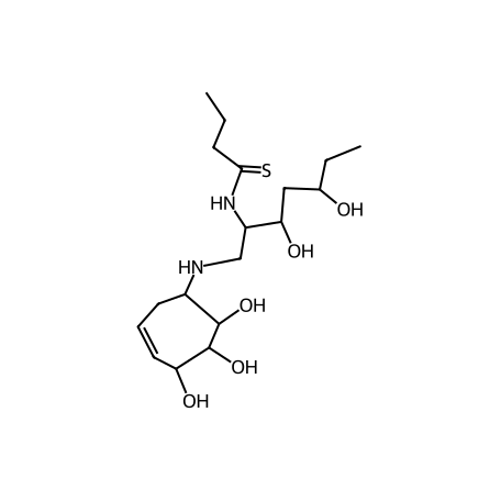 CCCC(=S)NC(CNC1CC=CC(O)C(O)C1O)C(O)CC(O)CC